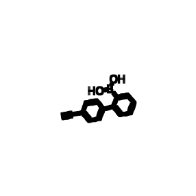 C#Cc1ccc(-c2ccccc2B(O)O)cc1